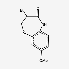 CCC1CSc2cc(OC)ccc2NC1=O